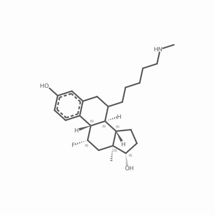 CNCCCCCC1Cc2cc(O)ccc2[C@@H]2[C@@H]1[C@@H]1CC[C@H](O)[C@@]1(C)C[C@@H]2F